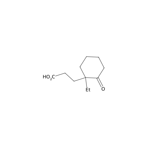 CCC1(CCC(=O)O)CCCCC1=O